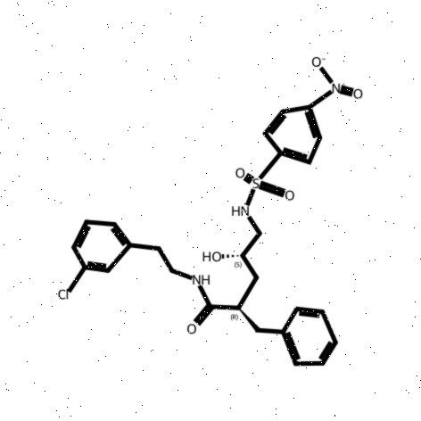 O=C(NCCc1cccc(Cl)c1)[C@H](Cc1ccccc1)C[C@H](O)CNS(=O)(=O)c1ccc([N+](=O)[O-])cc1